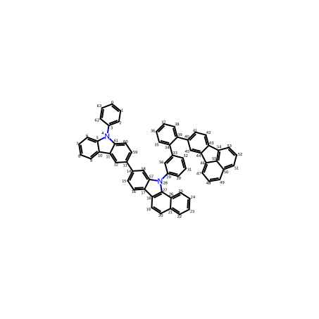 c1ccc(-n2c3ccccc3c3cc(-c4ccc5c6ccc7ccccc7c6n(-c6cccc(-c7ccccc7-c7ccc8c(c7)-c7cccc9cccc-8c79)c6)c5c4)ccc32)cc1